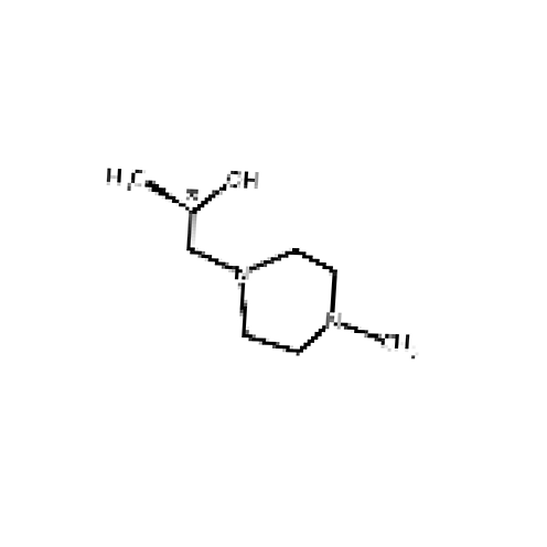 C[C@@H](O)CN1CCN(C)CC1